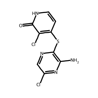 Nc1nc(Cl)cnc1Sc1cc[nH]c(=O)c1Cl